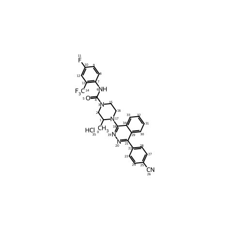 CC1CN(C(=O)Nc2ccc(F)cc2C(F)(F)F)CCN1c1nnc(-c2ccc(C#N)cc2)c2ccccc12.Cl